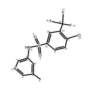 Cc1cncc(NS(=O)(=O)c2ccc(Cl)c(C(F)(F)F)c2)c1